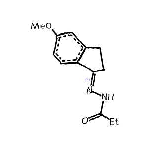 CCC(=O)N/N=C1\CCc2cc(OC)ccc21